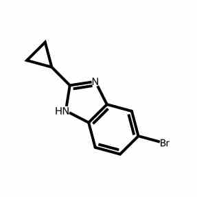 Brc1ccc2[nH]c(C3CC3)nc2c1